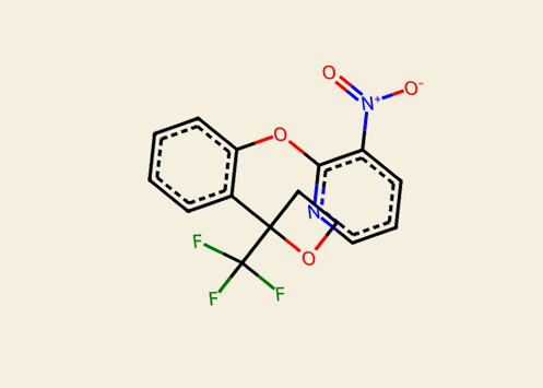 O=[N+]([O-])c1cccnc1Oc1ccccc1C1(C(F)(F)F)CCO1